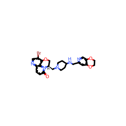 O=c1ccc2ncc(Br)c3c2n1[C@H](CN1CCC(NCc2cc4c(cn2)OCCO4)CC1)CO3